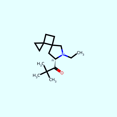 CCN1CC2(CCC23CC3)C[C@H]1C(=O)C(C)(C)C